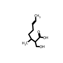 CC=CCCC(C)C(CO)C(=O)O